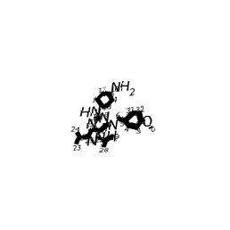 COc1ccc(CNc2nc(NC3CCC(N)CC3)nc3c(C(C)C)nn(C(C)C)c23)cc1